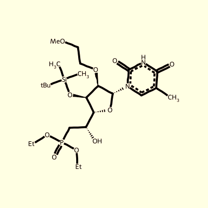 CCOP(=O)(C[C@@H](O)[C@H]1O[C@@H](n2cc(C)c(=O)[nH]c2=O)[C@H](OCCOC)[C@@H]1O[Si](C)(C)C(C)(C)C)OCC